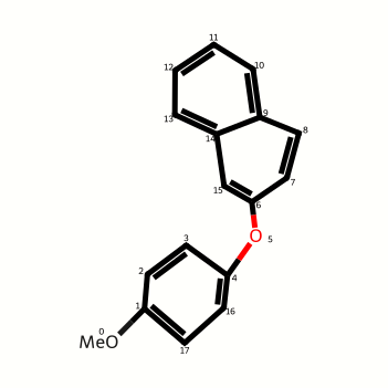 COc1ccc(Oc2ccc3ccccc3c2)cc1